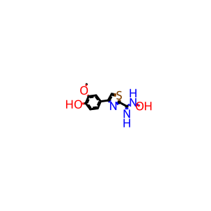 COc1cc(-c2csc(C(=N)NO)n2)ccc1O